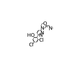 CN(C)C[C@H]1CN(c2ccc(-c3c(O)cc(Cl)cc3Cl)nn2)CCO1